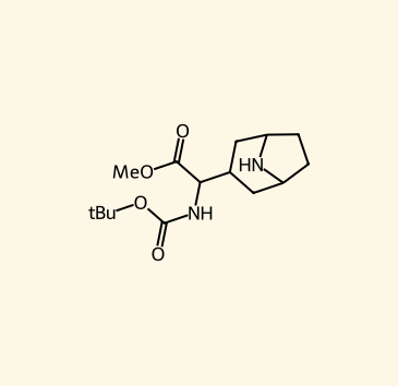 COC(=O)C(NC(=O)OC(C)(C)C)C1CC2CCC(C1)N2